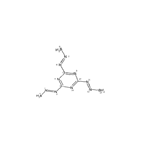 BN=Nc1nc(N=NB)nc(N=NB)n1